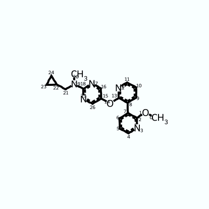 COc1ncccc1-c1cccnc1Oc1cnc(N(C)CC2CC2)nc1